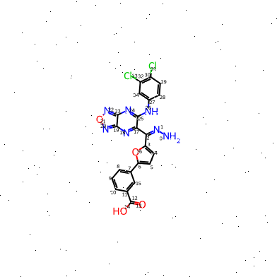 NN=C(c1ccc(-c2cccc(C(=O)O)c2)o1)c1nc2nonc2nc1Nc1ccc(Cl)c(Cl)c1